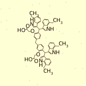 CCc1cccc2c(C(c3ccc(Cc4ccc(C(c5c[nH]c6c(CC)cccc56)c5c[nH]c6c(CC)cccc56)c(OCC(=O)O)c4)cc3OCC(=O)O)c3c[nH]c4c(CC)cccc34)c[nH]c12